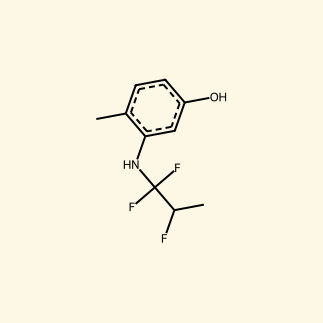 Cc1ccc(O)cc1NC(F)(F)C(C)F